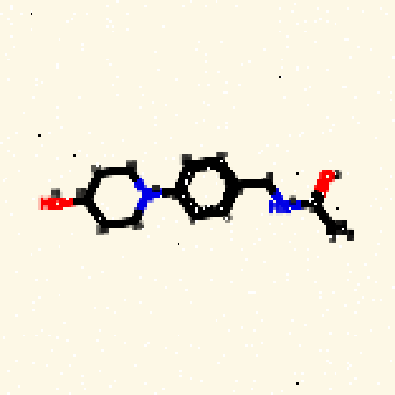 BC(=O)NCc1ccc(N2CCC(O)CC2)cc1